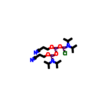 CC(C)N(C(C)C)P(Cl)OP(OCCC#N)OP(OCCC#N)N(C(C)C)C(C)C